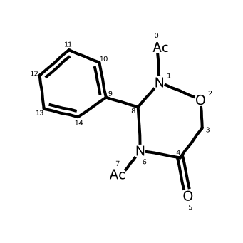 CC(=O)N1OCC(=O)N(C(C)=O)C1c1ccccc1